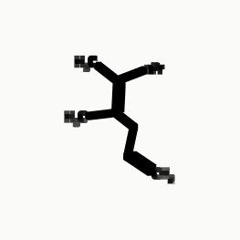 C=CCC(C)=C(C)CCC